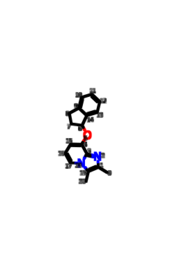 Cc1nc2c(OC3CCc4ccccc43)cccn2c1C